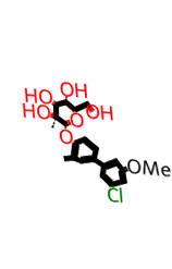 COc1cc(Cl)cc(-c2ccc(O[C@H]3OC(CO)[C@@H](O)C(O)[C@]3(C)O)c(C)c2)c1